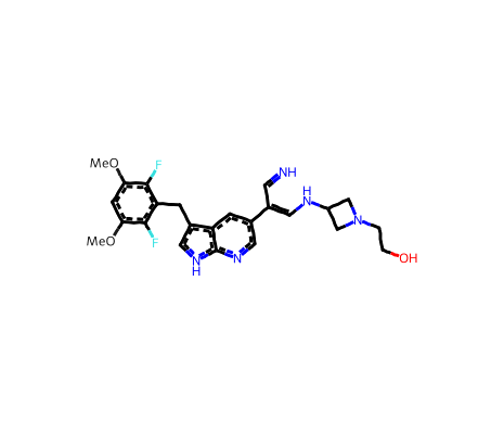 COc1cc(OC)c(F)c(Cc2c[nH]c3ncc(/C(C=N)=C/NC4CN(CCO)C4)cc23)c1F